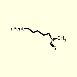 CCCCCCCCCCN(C)[C]=S